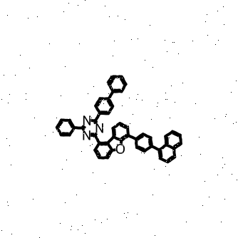 c1cccc(-c2ccc(-c3nc(-c4ccccc4)nc(-c4cccc5oc6c(-c7ccc(-c8cccc9ccccc89)cc7)cccc6c45)n3)cc2)c#1